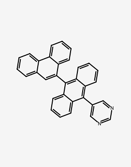 c1ccc2c(c1)cc(-c1c3ccccc3c(-c3cncnc3)c3ccccc13)c1ccccc12